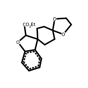 CCOC(=O)C1Oc2ccccc2C12CCC1(CC2)OCCO1